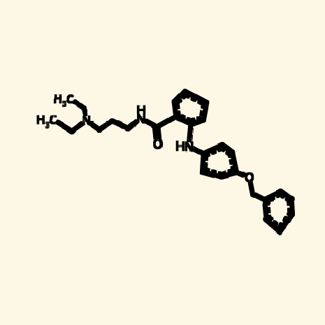 CCN(CC)CCCNC(=O)c1ccccc1Nc1ccc(OCc2ccccc2)cc1